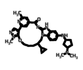 Cc1cc2cc(n1)-c1cnn(C)c1OCCCC(C1CC1)CN1/C(=N/C2=O)Nc2cc(NC3CCC(N(C)C)C3)ccc21